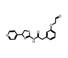 O=CCOc1cccc(CC(=O)NC2=NC(c3ccncc3)CS2)c1